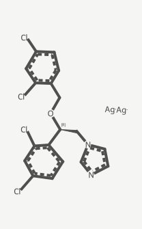 Clc1ccc(CO[C@@H](Cn2ccnc2)c2ccc(Cl)cc2Cl)c(Cl)c1.[Ag].[Ag]